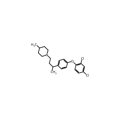 CC1CCN(CCC(C)c2ccc(Oc3ccc(Cl)cc3Cl)cc2)CC1